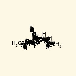 C#C/C=c1/[nH]c([C@@H]2CCCN2C(=O)[C@@H](NC(=O)OC)C2CCOCC2)n/c1=C/C[C@H]1CC[C@H](c2cc3nc([C@@H]4CCCN4C(=O)[C@@H](NC(=O)OC)C4CCOCC4)[nH]c3cc2F)N1c1cc(F)c(N2CCC(c3ccc(F)cc3)CC2)c(F)c1